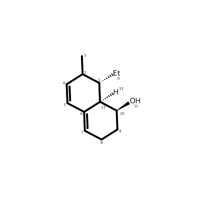 CC[C@H]1C(C)C=CC2=CCC[C@H](O)[C@@H]21